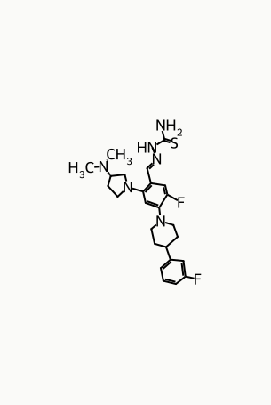 CN(C)[C@@H]1CCN(c2cc(N3CCC(c4cccc(F)c4)CC3)c(F)cc2/C=N/NC(N)=S)C1